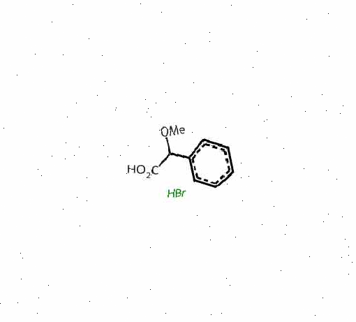 Br.COC(C(=O)O)c1ccccc1